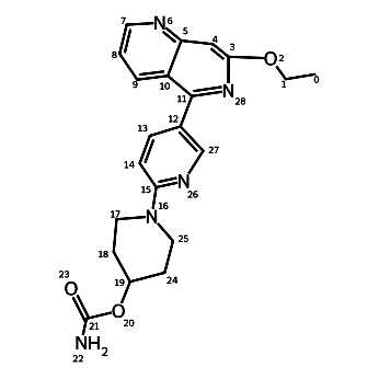 CCOc1cc2ncccc2c(-c2ccc(N3CCC(OC(N)=O)CC3)nc2)n1